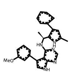 COc1cccc(-c2c[nH]c3ncnc(N[C@@H](C)c4[nH]c(C)cc4-c4ccccc4)c23)c1